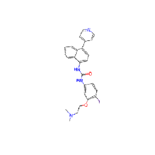 CN(C)CCOc1cc(NC(=O)Nc2ccc(-c3ccncc3)c3ccccc23)ccc1I